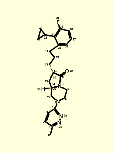 Cc1ccc(N2CCN3C(=O)[C@@H](CCCc4cccc(F)c4C4CC4)C[C@H]3C2)nn1